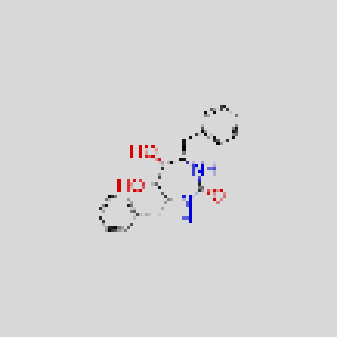 O=C1N[C@H](Cc2ccccc2)[C@H](O)[C@@H](O)[C@@H](Cc2ccccc2)N1